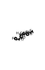 Cc1cnc(-c2cccc(NC(=O)C3(F)CC3)c2F)cc1-n1c(C)cc([C@H]2C[C@@H]2c2ccc(F)cc2)c(Cl)c1=O